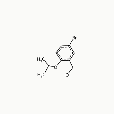 CC(C)Oc1ccc(Br)cc1C[O]